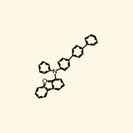 c1ccc(-c2ccc(-c3ccc(N(c4ccccc4)c4cccc5c4oc4ccccc45)cc3)cc2)cc1